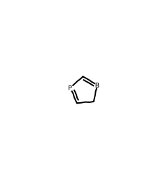 B1=CP=CC1